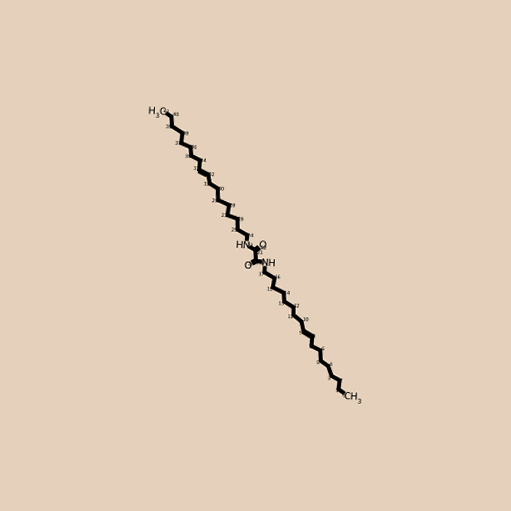 CCCCCCCCC=CCCCCCCCCNC(=O)C(=O)NCCCCCCCCC=CCCCCCCCC